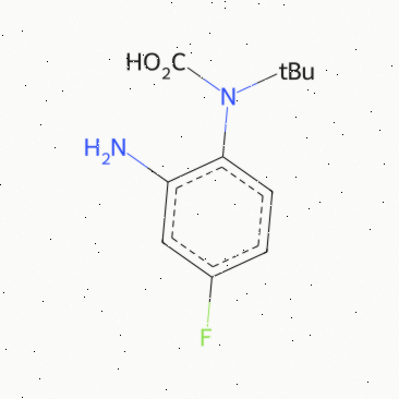 CC(C)(C)N(C(=O)O)c1ccc(F)cc1N